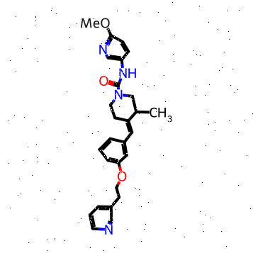 COc1ccc(NC(=O)N2CC/C(=C\c3cccc(OCCc4cccnc4)c3)C(C)C2)cn1